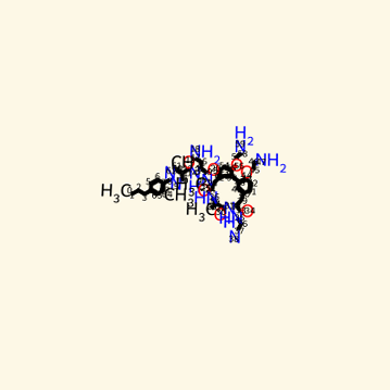 CCCCc1ccc(-c2ncc(C(=O)NC(CCN)C(=O)N(C)C3C(=O)NC(C)C(=O)NC(C(=O)NCC#N)Cc4ccc(OCCN)c(c4)-c4cc3ccc4OCCN)c(C)n2)c(C)c1